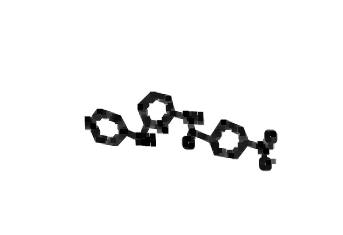 O=C(Nc1cccc(Nc2ccncc2)n1)c1ccc([N+](=O)[O-])cc1